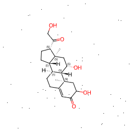 C[C@]12C[C@H](O)[C@H]3[C@@H](CCC4=CC(=O)C(O)C[C@@]43C)[C@@H]1CC[C@@H]2C(=O)CO